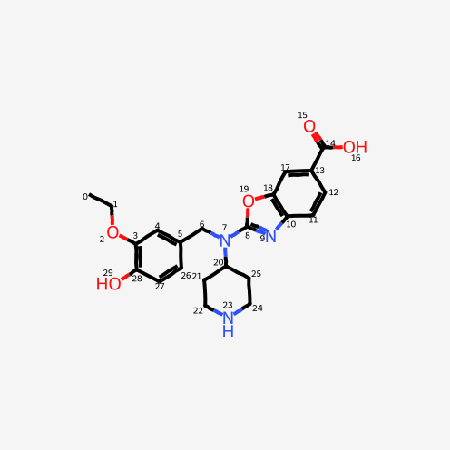 CCOc1cc(CN(c2nc3ccc(C(=O)O)cc3o2)C2CCNCC2)ccc1O